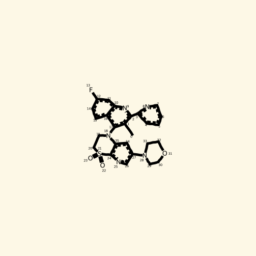 Cc1c(-c2ccccn2)nc2cc(F)ccc2c1N1CCS(=O)(=O)c2ncc(N3CCOCC3)cc21